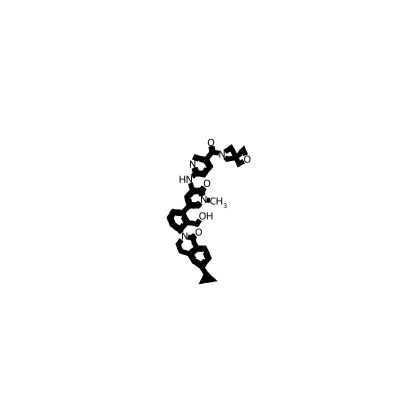 Cn1cc(-c2cccc(N3CCc4cc(C5CC5)ccc4C3=O)c2CO)cc(Nc2ccc(C(=O)N3CC4(COC4)C3)cn2)c1=O